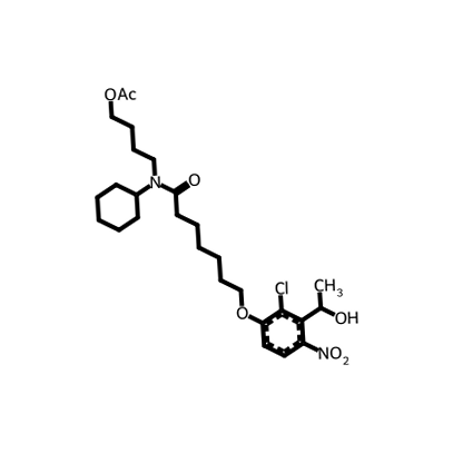 CC(=O)OCCCCN(C(=O)CCCCCCOc1ccc([N+](=O)[O-])c(C(C)O)c1Cl)C1CCCCC1